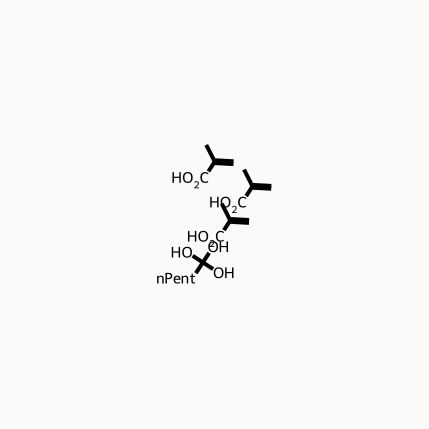 C=C(C)C(=O)O.C=C(C)C(=O)O.C=C(C)C(=O)O.CCCCCC(O)(O)O